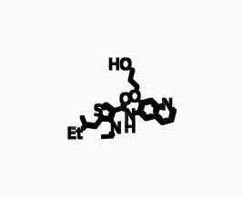 C/C=N\c1c(C(=O)Nc2cc3cccnc3cc2OCCCO)csc1/C=C(\C)CC